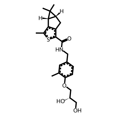 Cc1cc(CNC(=O)c2sc(C)c3c2C[C@@H]2[C@H]3C2(C)C)ccc1OC[C@@H](O)CO